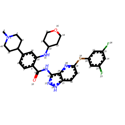 CN1CCC(c2ccc(C(=O)Nc3n[nH]c4ccc(Sc5cc(F)cc(F)c5)nc34)c(NC3CCOCC3)c2)CC1